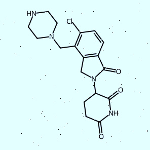 O=C1CCC(N2Cc3c(ccc(Cl)c3CN3CCNCC3)C2=O)C(=O)N1